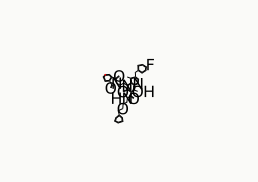 Cc1c(Cc2ccc(F)cc2)cnc2c(O)c(C(=O)NCCOCc3ccccc3)c(=O)n(CCN3C(=O)c4ccccc4C3=O)c12